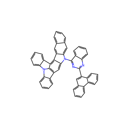 c1ccc2cc3c(cc2c1)c1c2c4ccccc4n4c5ccccc5c(cc1n3-c1nc(-c3cc5ccccc5c5ccccc35)nc3ccccc13)c24